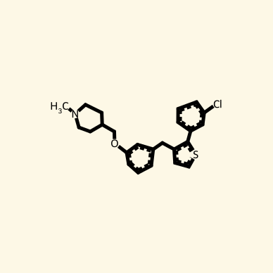 CN1CCC(COc2cccc(Cc3ccsc3-c3cccc(Cl)c3)c2)CC1